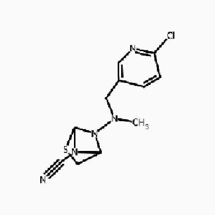 CN(Cc1ccc(Cl)nc1)N1C2CSC1N2C#N